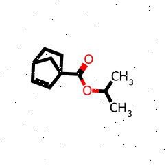 CC(C)OC(=O)C12C=CC(CC1)C2